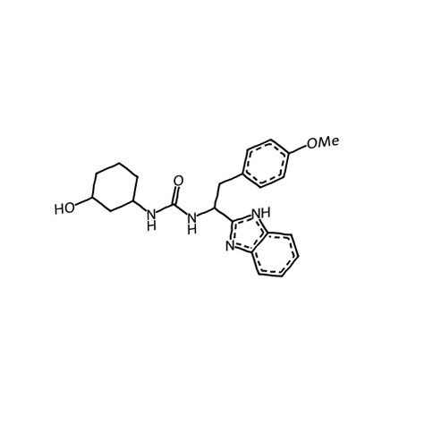 COc1ccc(CC(NC(=O)NC2CCCC(O)C2)c2nc3ccccc3[nH]2)cc1